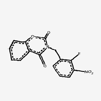 O=c1oc2c[c]ccc2c(=O)n1Cc1cccc([N+](=O)[O-])c1F